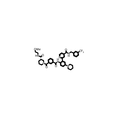 COCCNC(=O)[C@H]1CCCN(C(=O)c2cccc(C(=O)Nc3ccc(N4CCCCC4)cc3-c3cc(C(=O)NCc4cccc(C(F)(F)F)c4)ccn3)c2)C1